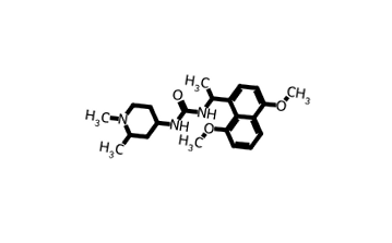 COc1ccc(C(C)NC(=O)NC2CCN(C)C(C)C2)c2c(OC)cccc12